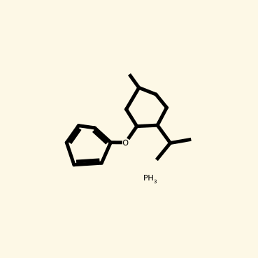 CC1CCC(C(C)C)C(Oc2ccccc2)C1.P